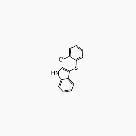 Clc1ccccc1Sc1c[nH]c2ccccc12